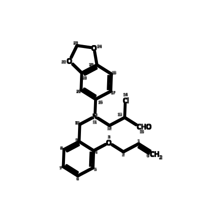 C=CCOc1ccccc1CN(CC(Cl)C=O)c1ccc2c(c1)OCO2